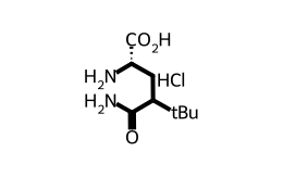 CC(C)(C)C(C[C@H](N)C(=O)O)C(N)=O.Cl